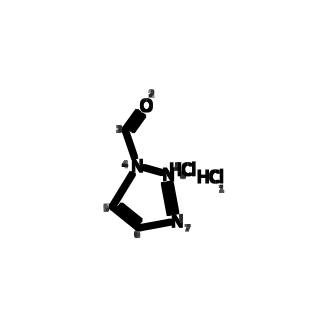 Cl.Cl.O=Cn1ccnn1